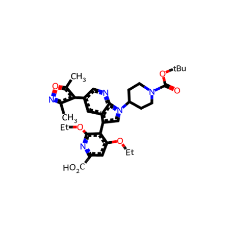 CCOc1cc(C(=O)O)nc(OCC)c1-c1cn(C2CCN(C(=O)OC(C)(C)C)CC2)c2ncc(-c3c(C)noc3C)cc12